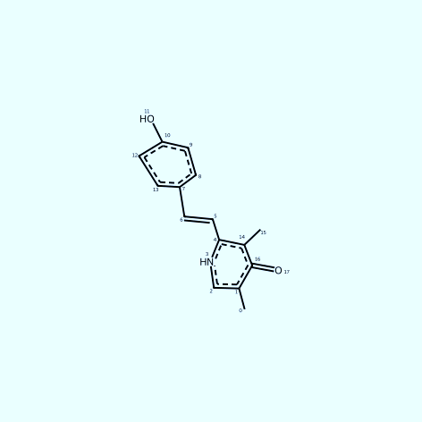 Cc1c[nH]c(C=Cc2ccc(O)cc2)c(C)c1=O